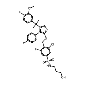 COc1cc(C(C)(C)c2cnc(SCc3c(F)cc(S(=O)(=O)NCCCO)cc3Cl)n2-c2ccc(F)cc2)ccc1F